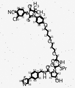 CC(C)[C@H](NC(=O)COCCCOCCCCOc1ccc(N2C(=S)N(c3ccc(C#N)c(Cl)c3)C(=O)C2(C)C)cc1)C(=O)N1C[C@H](O)C[C@H]1C(=O)NCc1ccc(-c2cncs2)cc1